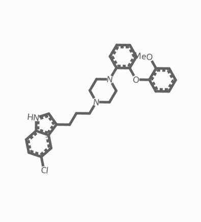 COc1ccccc1Oc1ccccc1N1CCN(CCCc2c[nH]c3ccc(Cl)cc23)CC1